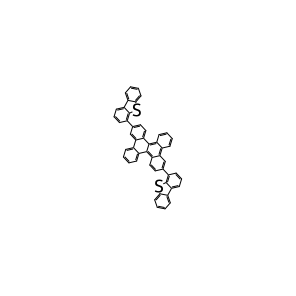 c1ccc2c(c1)sc1c(-c3ccc4c(c3)c3ccccc3c3c5ccc(-c6cccc7c6sc6ccccc67)cc5c5ccccc5c43)cccc12